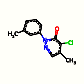 Cc1cccc(-n2ncc(C)c(Cl)c2=O)c1